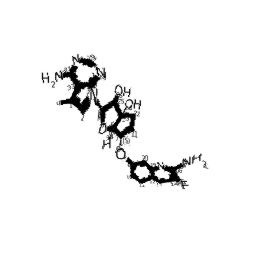 Cc1cn([C@@H]2O[C@@H]3[C@@H](Oc4ccc5cc(F)c(N)nc5c4)CC[C@]3(O)C2O)c2ncnc(N)c12